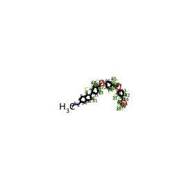 C/C=C/c1ccc2c(F)c(-c3cc(F)c(C(F)(F)Oc4cc(F)c(C(F)(F)Oc5cc(F)c(C(F)(F)OC(F)(F)F)c(F)c5)c(F)c4)c(F)c3)c(F)cc2c1